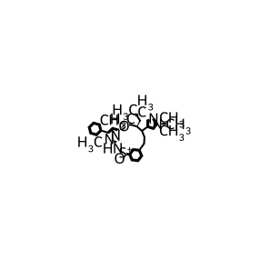 Cc1cccc(C)c1-c1cc2nc(n1)N[S+]([O-])c1cccc(c1)CCC(c1cnn(C(C)(C)C)c1)[C@H](CC(C)(C)C)CO2